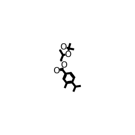 Cc1cc(C(=O)OCC2COC(C)(C)O2)ccc1C(C)C